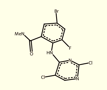 CNC(=O)c1cc(Br)cc(F)c1Nc1nc(Cl)ncc1Cl